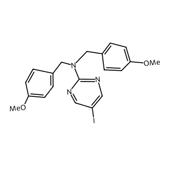 COc1ccc(CN(Cc2ccc(OC)cc2)c2ncc(I)cn2)cc1